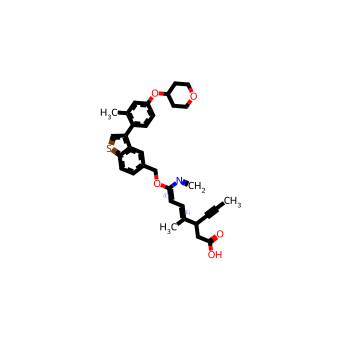 C=N/C(=C\C=C(/C)C(C#CC)CC(=O)O)OCc1ccc2scc(-c3ccc(OC4CCOCC4)cc3C)c2c1